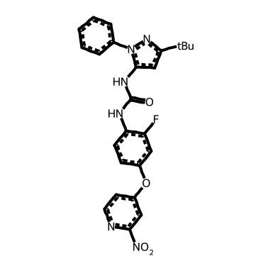 CC(C)(C)c1cc(NC(=O)Nc2ccc(Oc3ccnc([N+](=O)[O-])c3)cc2F)n(-c2ccccc2)n1